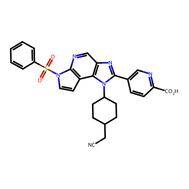 N#CCC1CCC(n2c(-c3ccc(C(=O)O)nc3)nc3cnc4c(ccn4S(=O)(=O)c4ccccc4)c32)CC1